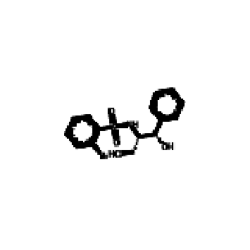 O=S(=O)(N[C@@H](CO)[C@@H](O)c1ccccc1)c1ccccc1Br